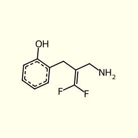 NCC(Cc1ccccc1O)=C(F)F